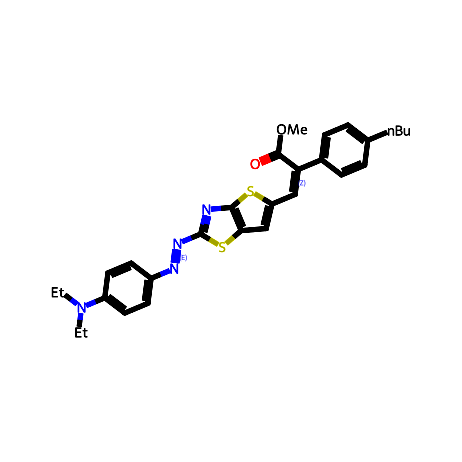 CCCCc1ccc(/C(=C/c2cc3sc(/N=N/c4ccc(N(CC)CC)cc4)nc3s2)C(=O)OC)cc1